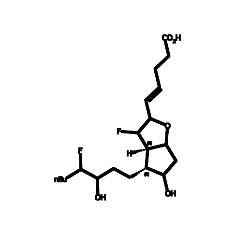 CCCCC(F)C(O)CC[C@H]1C(O)CC2OC(C=CCCC(=O)O)C(F)[C@@H]21